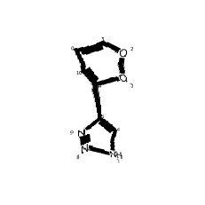 C1=COOC(c2c[nH]nn2)=C1